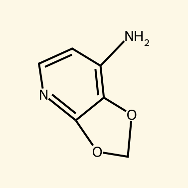 Nc1ccnc2c1OCO2